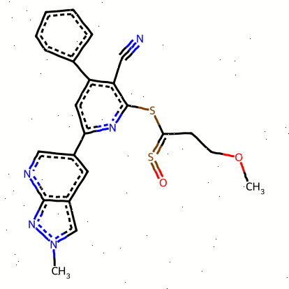 COCCC(Sc1nc(-c2cnc3nn(C)cc3c2)cc(-c2ccccc2)c1C#N)=S=O